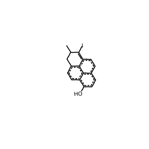 CC1Cc2ccc3c(O)ccc4ccc(c2c43)=C1I